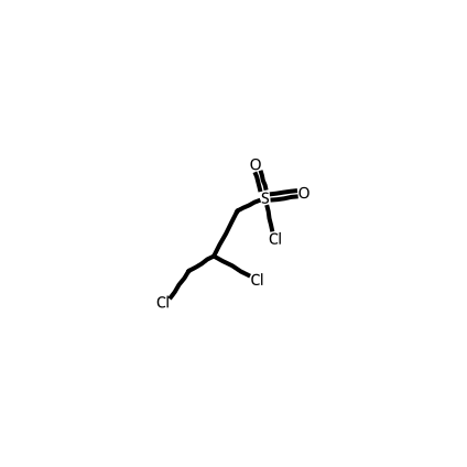 O=S(=O)(Cl)CC(Cl)CCl